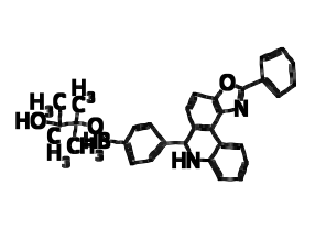 CC(C)(O)C(C)(C)OBc1ccc(C2Nc3ccccc3-c3c2ccc2oc(-c4ccccc4)nc32)cc1